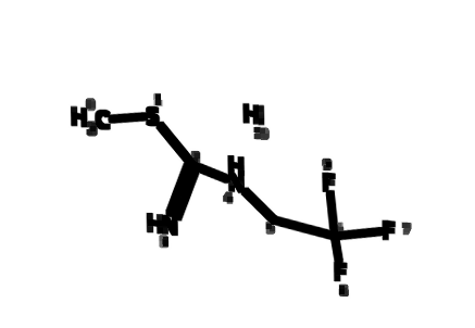 CSC(=N)NCC(F)(F)F.I